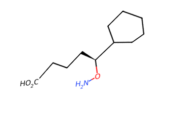 NO[C@@H](CCCC(=O)O)C1CCCCC1